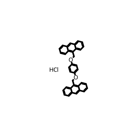 Cl.c1ccc2c(COc3ccc(OCc4c5ccccc5cc5ccccc45)cc3)c3ccccc3cc2c1